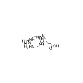 CN(C)C[C@@]1(NC(=O)CCCC(=O)O)CNCCNC[C@@](N)(CN)NCCN1